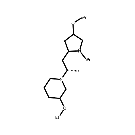 CCOC1CCCN([C@@H](C)CC2CC(OC(C)C)CN2C(C)C)C1